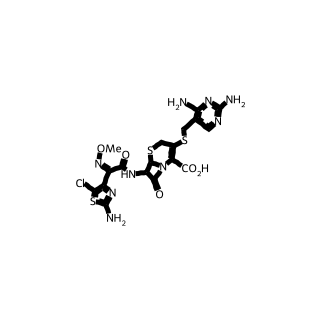 CO/N=C(\C(=O)NC1C(=O)N2C(C(=O)O)=C(SCc3cnc(N)nc3N)CSC12)c1nc(N)sc1Cl